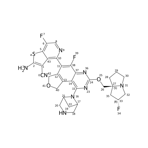 N#Cc1c(N)sc2c(F)cnc(-c3c4c(c5c(N6C7CNCC6C7)nc(OC[C@@]67CCCN6C[C@H](F)C7)nc5c3F)COC4)c12